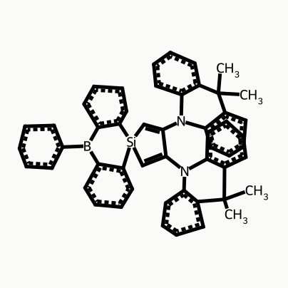 CC1(C)c2ccccc2N(C2=C[Si]3(C=C2N2c4ccccc4C(C)(C)c4ccccc42)c2ccccc2B(c2ccccc2)c2ccccc23)c2ccccc21